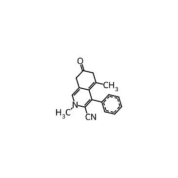 CC1=C2C(=CN(C)C(C#N)=C2c2ccccc2)CC(=O)C1